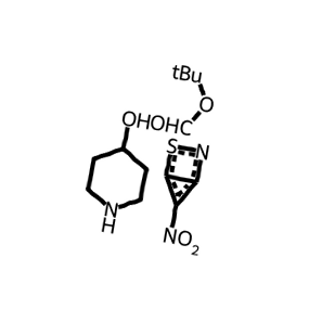 CC(C)(C)OC=O.O=[N+]([O-])c1c2nsc1-2.OC1CCNCC1